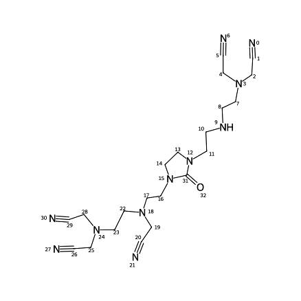 N#CCN(CC#N)CCNCCN1CCN(CCN(CC#N)CCN(CC#N)CC#N)C1=O